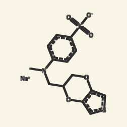 CN(CC1COc2cscc2O1)c1ccc(S(=O)(=O)[O-])cc1.[Na+]